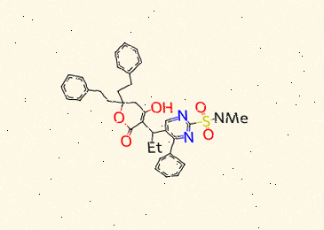 CCC(C1=C(O)CC(CCc2ccccc2)(CCc2ccccc2)OC1=O)c1cnc(S(=O)(=O)NC)nc1-c1ccccc1